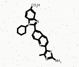 Cc1nc(N)sc1-c1ccc2cc(-c3nc4cc(C(=O)O)ccc4n3C3CCCCC3)ccc2n1